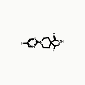 O=C(O)C1(C(F)F)CCN(c2ncc(F)cn2)CC1